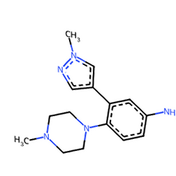 CN1CCN(c2ccc(N)cc2-c2cnn(C)c2)CC1